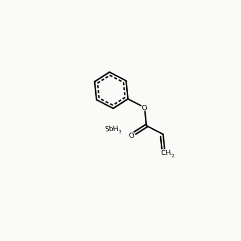 C=CC(=O)Oc1ccccc1.[SbH3]